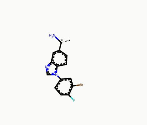 C[C@@H](N)c1ccc2c(c1)ncn2-c1ccc(F)c(Br)c1